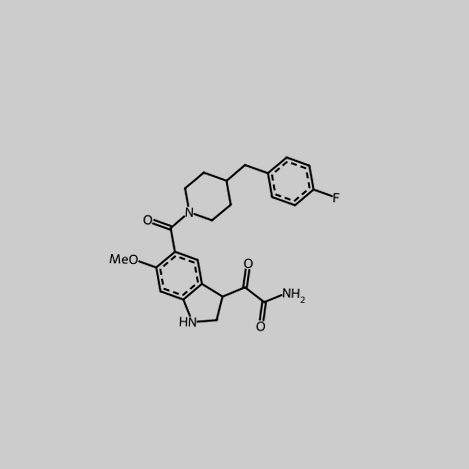 COc1cc2c(cc1C(=O)N1CCC(Cc3ccc(F)cc3)CC1)C(C(=O)C(N)=O)CN2